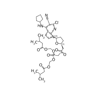 CC(C)CC(=O)OCOP(=O)(CS(=O)(=O)C[C@@H]1CC[C@H](n2ccc3c(NC4CCCC4)c(C#N)c(Cl)nc32)O1)OCOC(=O)CC(C)C